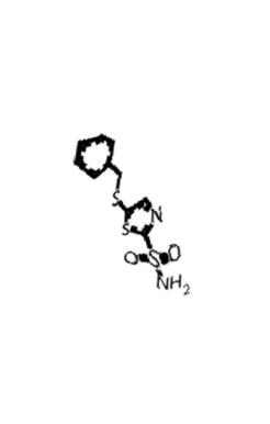 NS(=O)(=O)c1ncc(SCc2ccccc2)s1